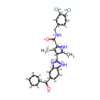 Cc1[nH]c(C(=O)NCc2ccc(Cl)c(Cl)c2)c(C)c1-c1nc2cc(C(=O)c3ccccc3)ccc2[nH]1